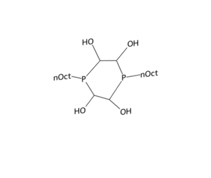 CCCCCCCCP1C(O)C(O)P(CCCCCCCC)C(O)C1O